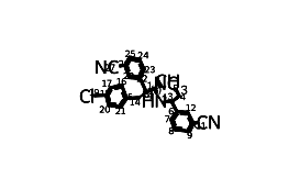 C[C@H](NC(CC#N)c1cccc(C#N)c1)[C@@H](Cc1ccc(Cl)cc1)c1cccc(C#N)c1